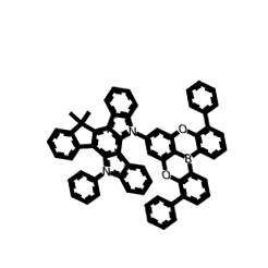 CC1(C)c2ccccc2-c2c1c1c3ccccc3n(-c3cc4c5c(c3)Oc3c(cccc3-c3ccccc3)B5c3cccc(-c5ccccc5)c3O4)c1c1c3ccccc3n(-c3ccccc3)c21